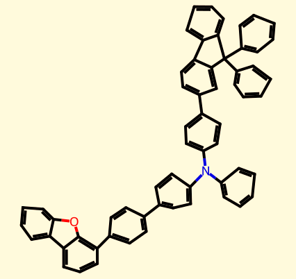 c1ccc(N(c2ccc(-c3ccc(-c4cccc5c4oc4ccccc45)cc3)cc2)c2ccc(-c3ccc4c(c3)C(c3ccccc3)(c3ccccc3)c3ccccc3-4)cc2)cc1